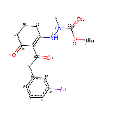 CN(NC1=C(C(=O)Cc2cccc(I)c2)C(=O)CCC1)C(=O)OC(C)(C)C